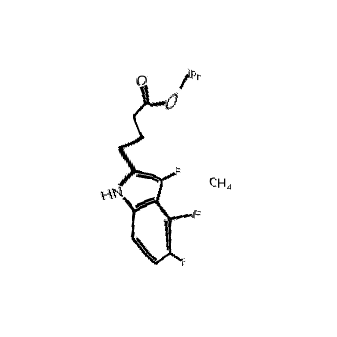 C.CC(C)OC(=O)CCCc1[nH]c2ccc(F)c(F)c2c1F